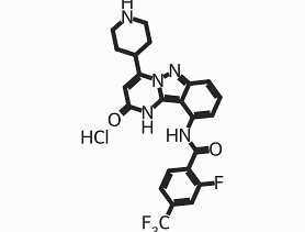 Cl.O=C(Nc1cccc2nn3c(C4CCNCC4)cc(=O)[nH]c3c12)c1ccc(C(F)(F)F)cc1F